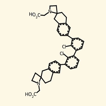 O=C(O)CN1CCC12CCc1cc(-c3cccc(-c4cccc(-c5ccc6c(c5)CCC5(CCN5CC(=O)O)C6)c4Cl)c3Cl)ccc1C2